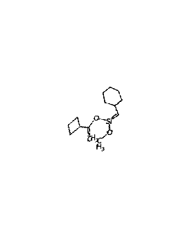 C=C(O[Si](=CC1CCCCC1)OC)C1CCC1